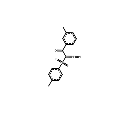 Cc1ccc(S(=O)(=O)C(=[N+]=[N-])C(=O)c2cccc(C)c2)cc1